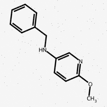 COc1ccc(NCc2ccccc2)cn1